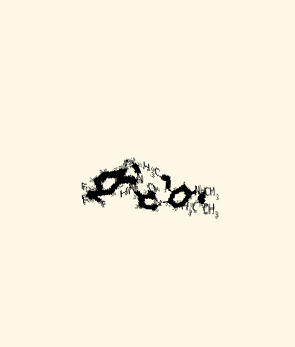 CCC[C@@H]1C[C@@H](NC(C)(C)C)CC[C@@H]1N1CCC(Nc2ncnc3ccc(C(F)(F)F)cc23)C1=O